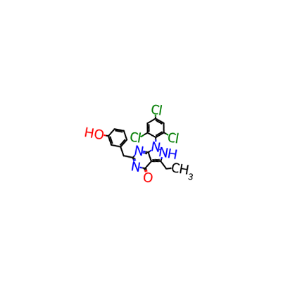 CCc1[nH]n(-c2c(Cl)cc(Cl)cc2Cl)c2nc(Cc3cccc(O)c3)nc(=O)c1-2